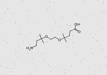 CC(C)(CCN)OCCOC(C)(C)CCC(=O)O